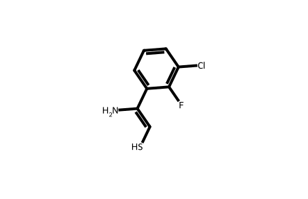 N/C(=C\S)c1cccc(Cl)c1F